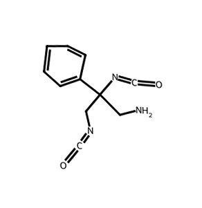 NCC(CN=C=O)(N=C=O)c1ccccc1